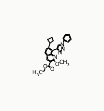 CCOC(=O)c1cc2ccc(C3CCC3)c(-c3cn(-c4ccccc4)nn3)c2nc1OC